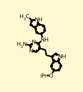 Cc1cc2cc(Nc3nc(N)ncc3CCc3c[nH]c4ccc(OC(C)C)cc34)ccc2[nH]1